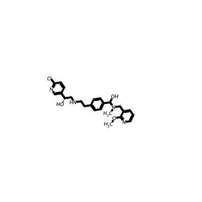 COc1ncccc1CN(C)C(O)c1ccc(CCNC[C@H](O)c2ccc(Cl)nc2)cc1